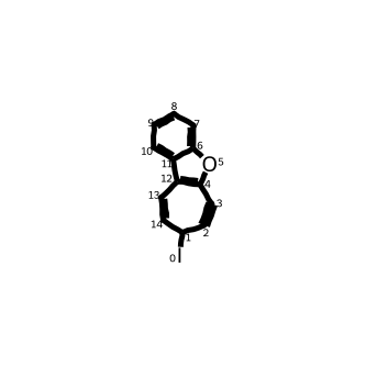 IC1C#Cc2oc3ccccc3c2C=C1